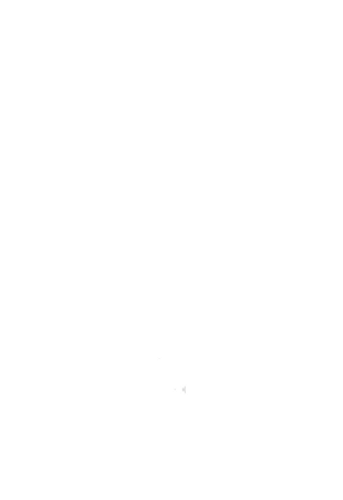 CCCCCCCCCCCC[PH](O)(c1ccccc1)c1ccccc1